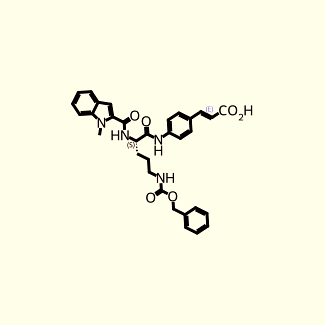 Cn1c(C(=O)N[C@@H](CCCNC(=O)OCc2ccccc2)C(=O)Nc2ccc(/C=C/C(=O)O)cc2)cc2ccccc21